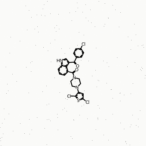 O=C(c1ccc(Cl)cc1)c1c[nH]c2cccc(C(=O)N3CCN(c4cc(Cl)sc4Cl)CC3)c12